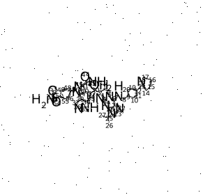 CC[C@@H](Nc1nc(NCc2ccc(-c3ccccn3)cc2)c2ncn(C(C)C)c2n1)C(O)c1cc2[nH]ncc2c2c1c(C(N)=O)nn2-c1ccc(S(N)(=O)=O)cc1